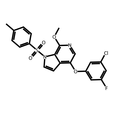 COc1ncc(Oc2cc(F)cc(Cl)c2)c2ccn(S(=O)(=O)c3ccc(C)cc3)c12